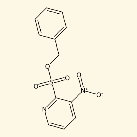 O=[N+]([O-])c1cccnc1S(=O)(=O)OCc1ccccc1